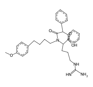 COc1ccc(CCCCN(C(=O)C(c2ccccc2)c2ccccc2)C(CCCNC(=N)N)C(=O)O)cc1